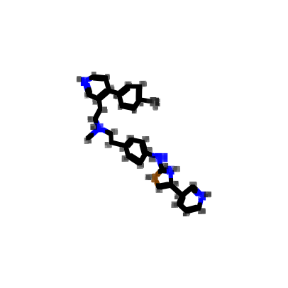 CCc1ccc(-c2ccncc2CCN(C)CCc2ccc(Nc3nc(-c4cccnc4)cs3)cc2)cc1